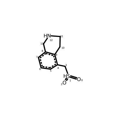 O=[SH](=O)Cc1cccc2c1CCNC2